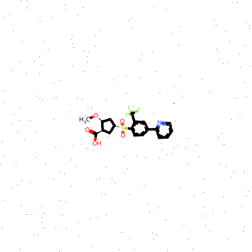 CO[C@@H]1C[C@H](S(=O)(=O)c2ccc(-c3ccccn3)cc2C(F)(F)F)C[C@H]1C(=O)O